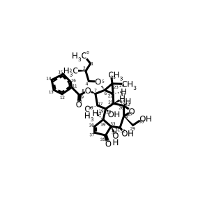 CC[C@H](C)CO[C@@]12[C@H](OC(=O)c3ccccc3)[C@@H](C)[C@@]3(O)[C@H]([C@@H]1C2(C)C)[C@@H]1O[C@]1(CO)C(O)[C@]1(O)C(=O)C=C[C@@H]31